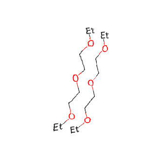 CCOCCOCCOCC.CCOCCOCCOCC